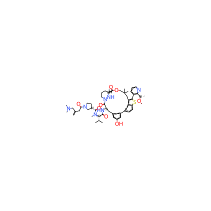 C=C(CC(=O)N1CC[C@H](C(=O)N(C)[C@H](C(=O)N[C@H]2Cc3cc(O)cc(c3)-c3ccc4sc(-c5cccnc5[C@H](C)OC)c(c4c3)CC(C)(C)COC(=O)[C@@H]3CCCN(N3)C2=O)C(C)C)C1)CN(C)C